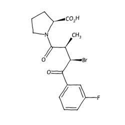 C[C@H](C(=O)N1CCC[C@H]1C(=O)O)[C@@H](Br)C(=O)c1cccc(F)c1